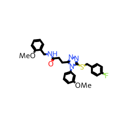 COc1cccc(-n2c(CCC(=O)NCc3ccccc3OC)nnc2SCc2ccc(F)cc2)c1